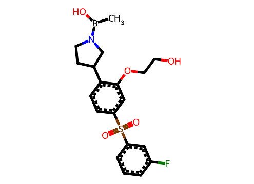 CB(O)N1CCC(c2ccc(S(=O)(=O)c3cccc(F)c3)cc2OCCO)C1